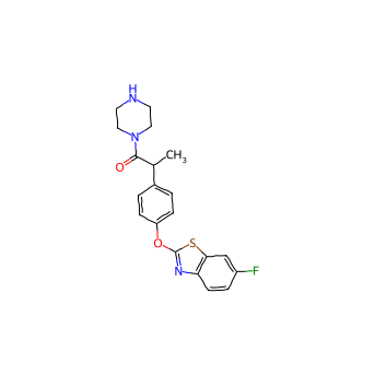 CC(C(=O)N1CCNCC1)c1ccc(Oc2nc3ccc(F)cc3s2)cc1